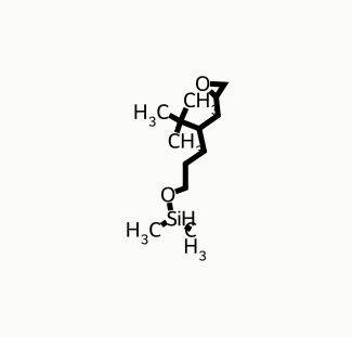 C[SiH](C)OCCCC(CC1CO1)C(C)(C)C